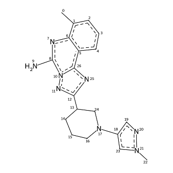 Cc1cccc2c1nc(N)n1nc(C3CCCN(c4cnn(C)c4)C3)nc21